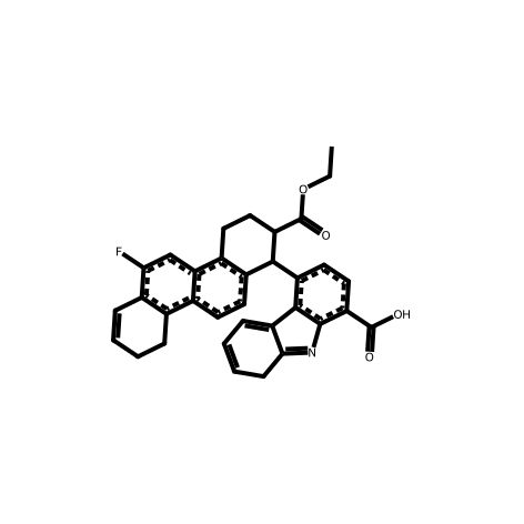 CCOC(=O)C1CCc2c(ccc3c4c(c(F)cc23)C=CCC4)C1c1ccc(C(=O)O)c2c1C1=CC=CCC1=N2